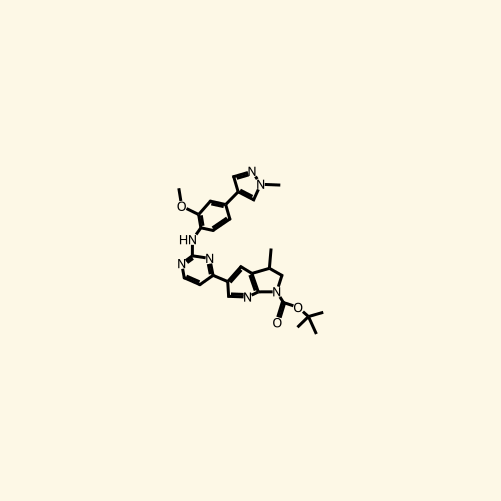 COc1cc(-c2cnn(C)c2)ccc1Nc1nccc(-c2cnc3c(c2)C(C)CN3C(=O)OC(C)(C)C)n1